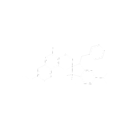 COc1cc2cc(Cl)c3c(c2cn1)OC1(C=N3)N(Cc2ccccc2)c2cc(N(C)C)ccc2C1(C)C